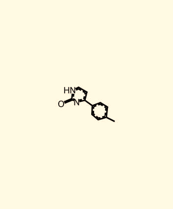 Cc1ccc(-c2cc[nH]c(=O)n2)cc1